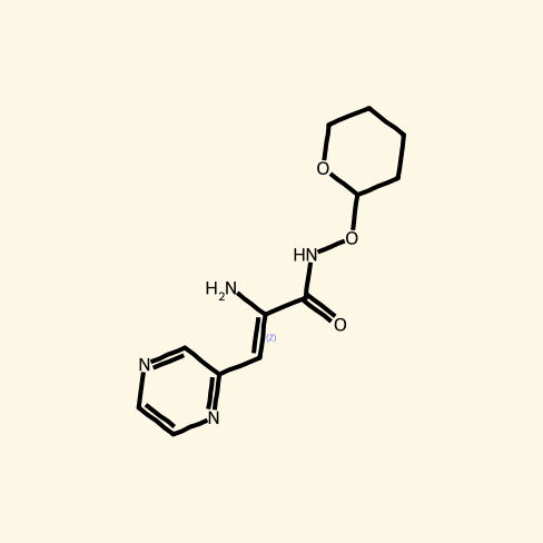 N/C(=C\c1cnccn1)C(=O)NOC1CCCCO1